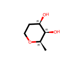 C[C@H]1OCC[C@@H](O)[C@H]1O